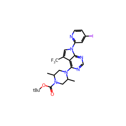 CC1CN(c2ncnc3c2c(C(F)(F)F)cn3-c2cc(I)ccn2)C(C)CN1C(=O)OC(C)(C)C